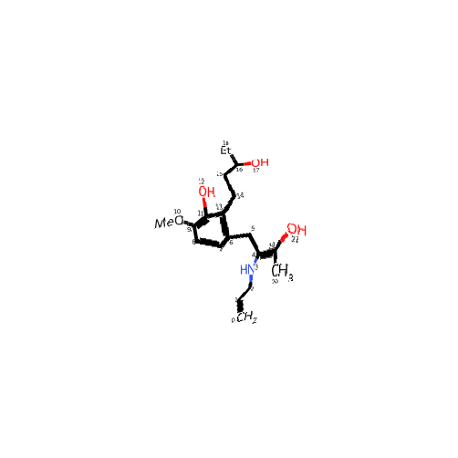 C=CCN/C(Cc1ccc(OC)c(O)c1CCC(O)CC)=C(\C)O